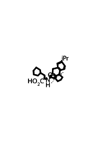 CC(C)c1ccc2c(c1)CC[C@H]1[C@](C)(C(=O)N[C@@H](CC3CCCCC3)C(=O)O)CCC[C@]21C